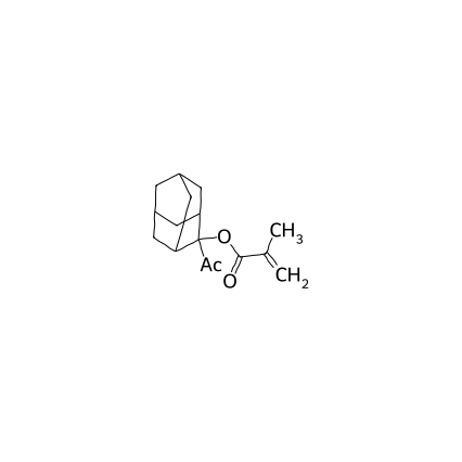 C=C(C)C(=O)OC1(C(C)=O)C2CC3CC(C2)CC1C3